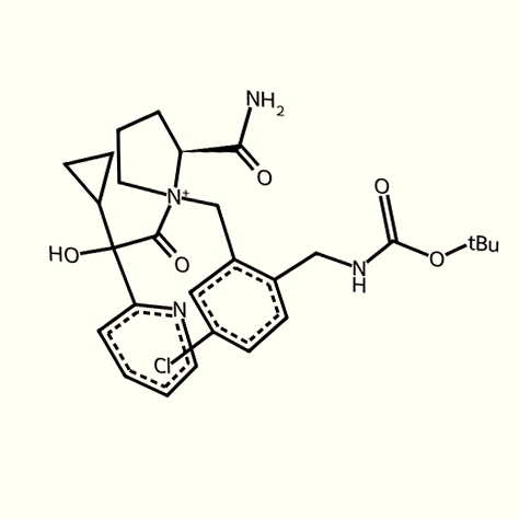 CC(C)(C)OC(=O)NCc1ccc(Cl)cc1C[N+]1(C(=O)C(O)(c2ccccn2)C2CC2)CCC[C@H]1C(N)=O